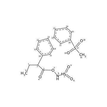 CCC(C(=O)ON[SH](=O)=O)c1ccccc1.CS(=O)(=O)c1ccccc1